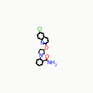 NC(=O)c1ccccc1N1CCC(Oc2ccc3cc(Cl)ccc3n2)C1